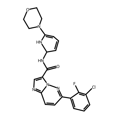 O=C(NC1C=CC=C(N2CCOCC2)N1)c1cnc2ccc(-c3cccc(Cl)c3F)nn12